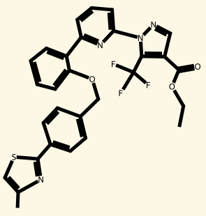 CCOC(=O)c1cnn(-c2cccc(-c3ccccc3OCc3ccc(-c4nc(C)cs4)cc3)n2)c1C(F)(F)F